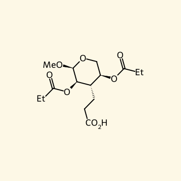 CCC(=O)O[C@H]1[C@@H](OC)OC[C@@H](OC(=O)CC)[C@@H]1CCC(=O)O